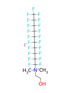 C[N+](C)(CCO)C(F)(F)C(F)(F)C(F)(F)C(F)(F)C(F)(F)C(F)(F)C(F)(F)C(F)(F)C(F)(F)C(F)(F)F.[I-]